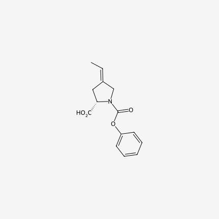 C/C=C1\C[C@@H](C(=O)O)N(C(=O)Oc2ccccc2)C1